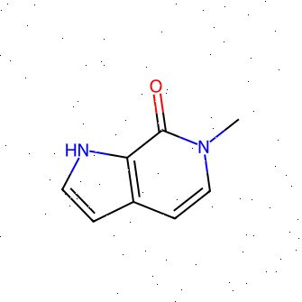 Cn1ccc2cc[nH]c2c1=O